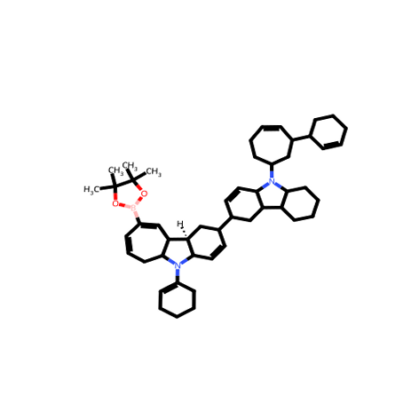 CC1(C)OB(C2=CC3C(CC=C2)N(C2=CCCCC2)C2C=CC(C4C=CC5C(C4)C4CCCCC4N5C4CCC=CC(C5C=CCCC5)C4)C[C@H]32)OC1(C)C